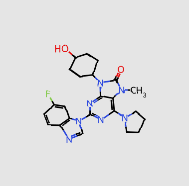 Cn1c(=O)n(C2CCC(O)CC2)c2nc(-n3cnc4ccc(F)cc43)nc(N3CCCC3)c21